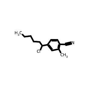 CCCCCC(Cl)c1ccc(C#N)c(C)c1